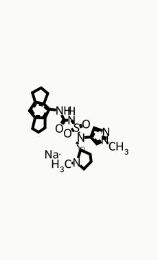 CN1CCC[C@H]1CN(c1cnn(C)c1)S(=O)(=O)NC(=O)Nc1c2c(cc3c1CCC3)CCC2.[Na]